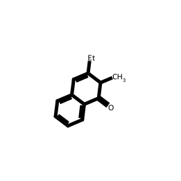 CCC1=Cc2ccccc2C(=O)C1C